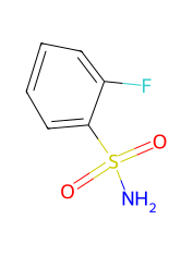 NS(=O)(=O)c1ccccc1F